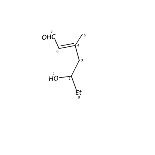 CCC(O)CC(C)=CC=O